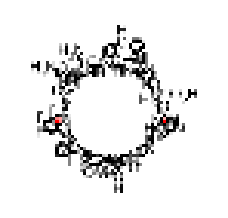 COCC[C@H]1C(=O)N2C[C@@H](O)C[C@@H]2C(=O)N[C@@H](CC(=O)O)C(=O)N[C@@H](C(C)C)C(=O)N(C)[C@@H](Cc2ccccc2)C(=O)N[C@@H](CC(=O)O)C(=O)N2CCOC[C@@H]2C(=O)N[C@@H](Cc2c[nH]c3ccccc23)C(=O)N[C@@H](Cc2ccc(O)cc2)C(=O)N[C@@H](CCCN)C(=O)N[C@H](C(=O)NCC(N)=O)CSCC(=O)N[C@@H](Cc2cc(F)c(F)c(F)c2)C(=O)N(C)[C@@H](Cc2ccccc2)C(=O)N1C